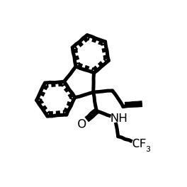 C=CCC1(C(=O)NCC(F)(F)F)c2ccccc2-c2ccccc21